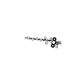 O=C(CCOCCOCCOCCO)NCCC(=O)N1Cc2ccccc2C2=C(NNN2)c2ccccc21